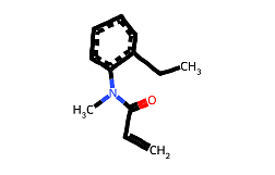 C=CC(=O)N(C)c1ccccc1CC